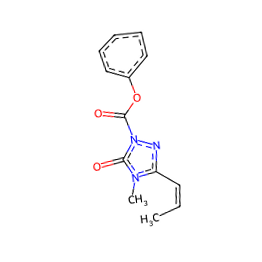 C/C=C\c1nn(C(=O)Oc2ccccc2)c(=O)n1C